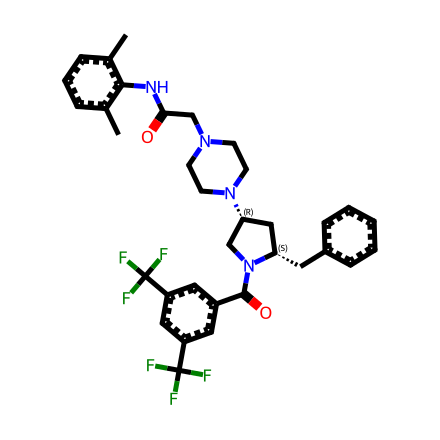 Cc1cccc(C)c1NC(=O)CN1CCN([C@@H]2C[C@H](Cc3ccccc3)N(C(=O)c3cc(C(F)(F)F)cc(C(F)(F)F)c3)C2)CC1